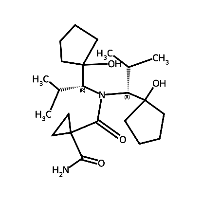 CC(C)[C@@H](N(C(=O)C1(C(N)=O)CC1)[C@H](C(C)C)C1(O)CCCC1)C1(O)CCCC1